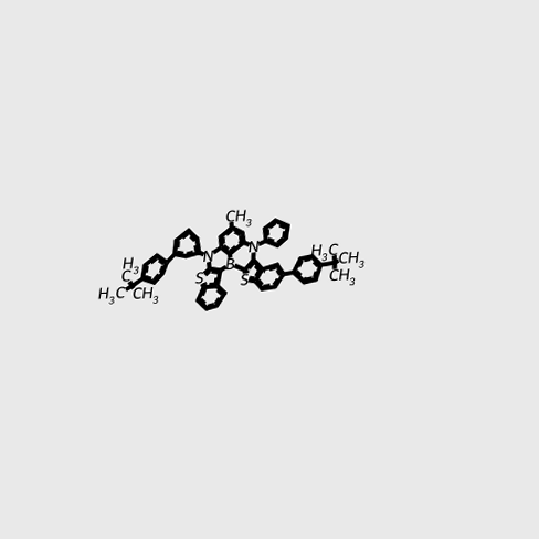 Cc1cc2c3c(c1)N(c1ccccc1)c1c(sc4ccc(-c5ccc(C(C)(C)C)cc5)cc14)B3c1c(sc3ccccc13)N2c1cccc(-c2ccc(C(C)(C)C)cc2)c1